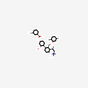 COc1cc(OC(=O)c2cccc(Cl)c2)ccc1-c1ccc2c(c1COc1cc(F)ccc1C)C(C)=CC(C)(C)N2